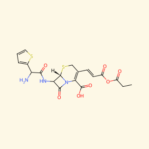 CCC(=O)OC(=O)C=CC1=C(C(=O)O)N2C(=O)C(NC(=O)C(N)c3cccs3)[C@@H]2SC1